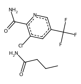 CCCC(N)=O.NC(=O)c1ncc(C(F)(F)F)cc1Cl